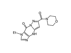 CCn1cnc2[nH]c3cc(C(=O)N4CCOCC4)nn3c(=O)c21